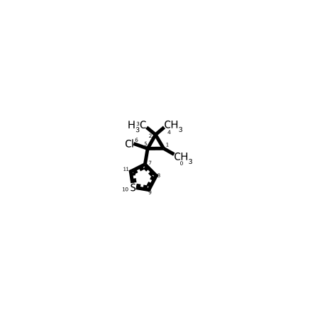 CC1C(C)(C)C1(Cl)c1ccsc1